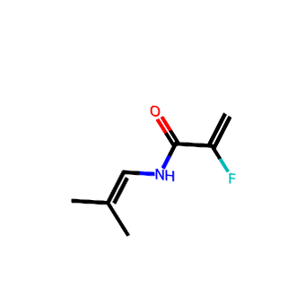 C=C(F)C(=O)NC=C(C)C